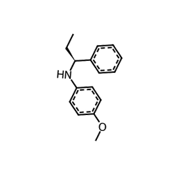 CC[C@H](Nc1ccc(OC)cc1)c1ccccc1